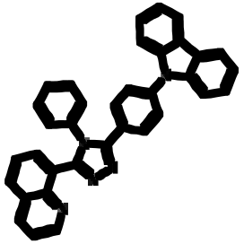 c1ccc(-n2c(-c3ccc(-n4c5ccccc5c5ccccc54)cc3)nnc2-c2cccc3cccnc23)cc1